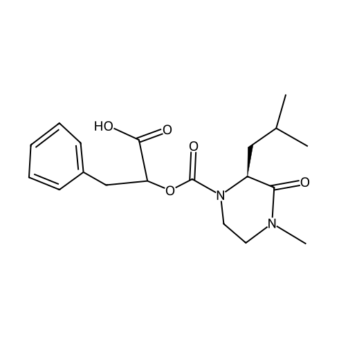 CC(C)C[C@H]1C(=O)N(C)CCN1C(=O)OC(Cc1ccccc1)C(=O)O